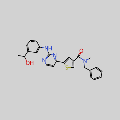 CC(O)c1cccc(Nc2nccc(-c3cc(C(=O)N(C)Cc4ccccc4)cs3)n2)c1